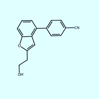 N#Cc1ccc(-c2cccc3oc(CCO)cc23)cc1